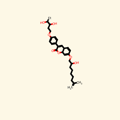 C=C(C)CCCCCC(O)COC1=CC2OC(=O)C(c3ccc(OCCC(O)C(O)CC)cc3)=CC2C=C1